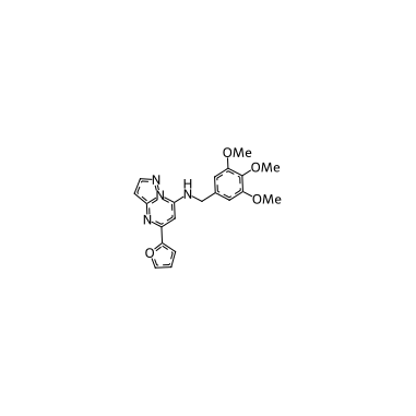 COc1cc(CNc2cc(-c3ccco3)nc3ccnn23)cc(OC)c1OC